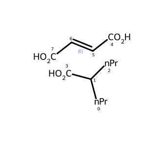 CCCC(CCC)C(=O)O.O=C(O)/C=C/C(=O)O